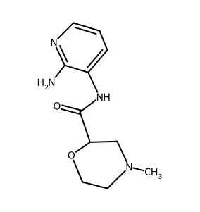 CN1CCOC(C(=O)Nc2cccnc2N)C1